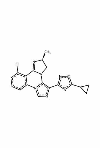 C[C@H]1CN2C(=N1)c1c(Cl)cccc1-n1cnc(-c3noc(C4CC4)n3)c12